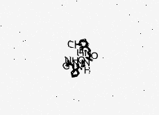 CC(C)(NC(=O)Cn1nc(C(N)=O)c2ccccc21)C(=O)NCc1cccc(Cl)c1F